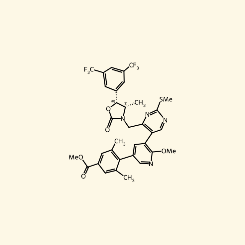 COC(=O)c1cc(C)c(-c2cnc(OC)c(-c3cnc(SC)nc3CN3C(=O)O[C@H](c4cc(C(F)(F)F)cc(C(F)(F)F)c4)[C@@H]3C)c2)c(C)c1